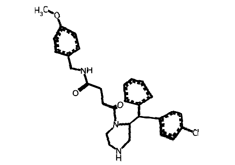 COc1ccc(CNC(=O)CCC(=O)N2CCNCC2C(c2ccccc2)c2ccc(Cl)cc2)cc1